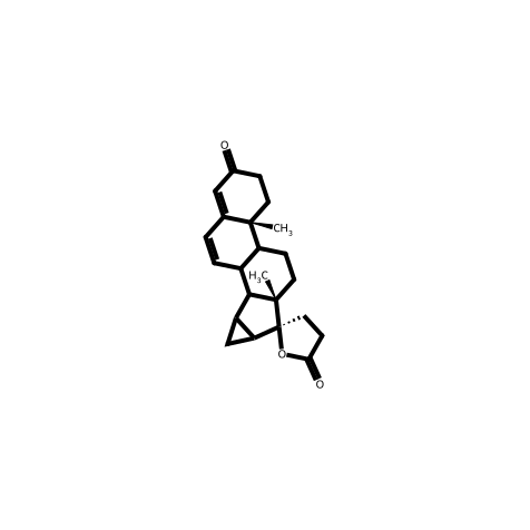 C[C@]12CCC(=O)C=C1C=CC1C2CC[C@@]2(C)C1C1CC1[C@@]21CCC(=O)O1